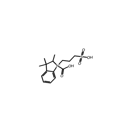 CC1C(C)(C)c2ccccc2[N+]1(CCCS(=O)(=O)O)C(=O)O